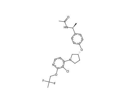 CC(=O)N[C@@H](C)c1ccc(O[C@@H]2CCN(c3ccnc(OCC(C)(F)F)c3Cl)C2)cc1